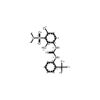 CN(C)S(=O)(=O)c1c(Cl)ccc(NC(=S)Nc2ccccc2C(F)(F)F)c1O